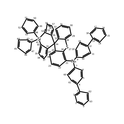 c1ccc(-c2ccc(N(c3ccc(-c4ccccc4)cc3)c3cccc4c3Sc3ccccc3C43c4ccccc4[Si](c4ccccc4)(c4ccccc4)c4ccccc43)cc2)cc1